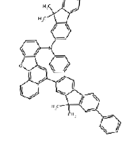 CC1(C)c2cc(-c3ccccc3)ccc2-c2ccc(-c3cc4c(oc5cccc(N(c6ccccc6)c6ccc7c(c6)C(C)(C)c6ccccc6-7)c54)c4ccccc34)cc21